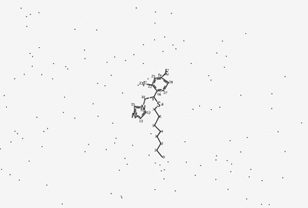 CCCCCCCCSC(Cn1ccnc1)c1ccc(F)cc1F